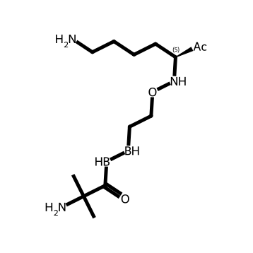 CC(=O)[C@H](CCCCN)NOCCBBC(=O)C(C)(C)N